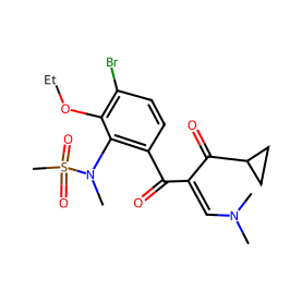 CCOc1c(Br)ccc(C(=O)/C(=C/N(C)C)C(=O)C2CC2)c1N(C)S(C)(=O)=O